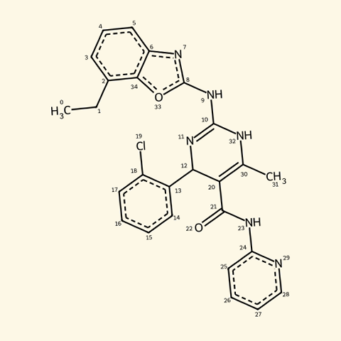 CCc1cccc2nc(NC3=NC(c4ccccc4Cl)C(C(=O)Nc4ccccn4)=C(C)N3)oc12